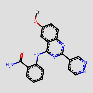 CCOc1ccc2nc(-c3ccnnc3)nc(Nc3ccccc3C(N)=O)c2c1